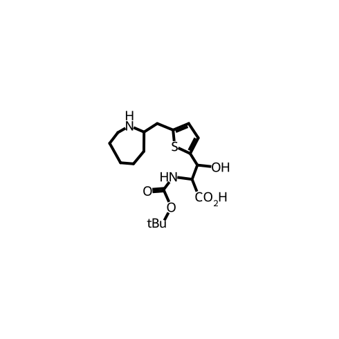 CC(C)(C)OC(=O)NC(C(=O)O)C(O)c1ccc(CC2CCCCCN2)s1